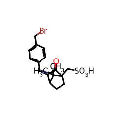 CC1(C)C2CCC1(CS(=O)(=O)O)C(=O)/C2=C\c1ccc(CBr)cc1